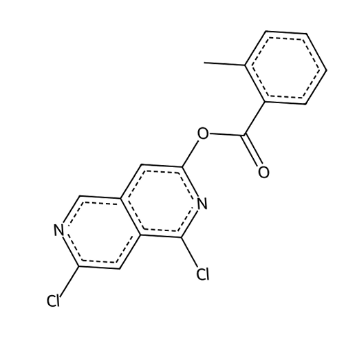 Cc1ccccc1C(=O)Oc1cc2cnc(Cl)cc2c(Cl)n1